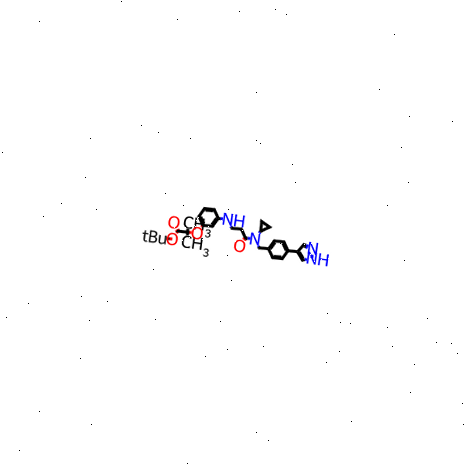 CC(C)(C)OC(=O)C(C)(C)Oc1cccc(NCCC(=O)N(Cc2ccc(-c3cn[nH]c3)cc2)C2CC2)c1